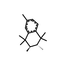 Cc1ccc2c(c1)C(C)(C)[C@H](C)[C@@H](C)C2(C)C